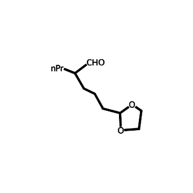 CCCC(C=O)CCCC1OCCO1